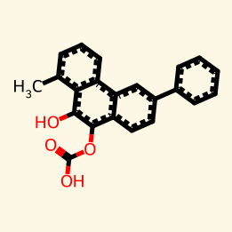 Cc1cccc2c1c(O)c(OC(=O)O)c1ccc(-c3ccccc3)cc12